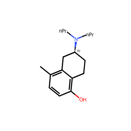 CCCN(CCC)[C@H]1CCc2c(O)ccc(C)c2C1